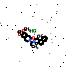 CCC(N(C)CC(C)c1cccc2ccccc12)N1CCc2cc(OC)c(OC)cc2CC1=O.Cl